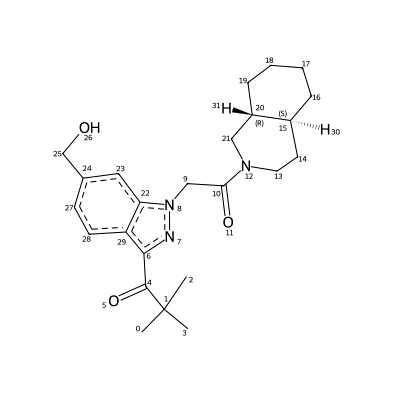 CC(C)(C)C(=O)c1nn(CC(=O)N2CC[C@@H]3CCCC[C@H]3C2)c2cc(CO)ccc12